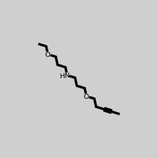 CC#CCCOCCCNCCCOCC